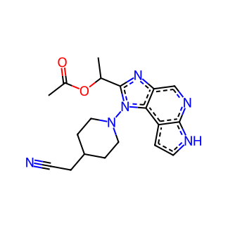 CC(=O)OC(C)c1nc2cnc3[nH]ccc3c2n1N1CCC(CC#N)CC1